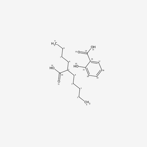 CCCCCC(CCCC)C(=O)O.O=C(O)c1ccccc1O